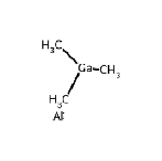 [Al].[CH3][Ga]([CH3])[CH3]